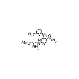 COC[C@H](N)CNc1cc(Nc2cccc(C)n2)c(C(N)=O)cn1